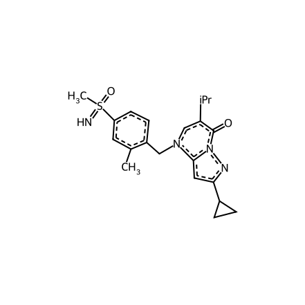 Cc1cc(S(C)(=N)=O)ccc1Cn1cc(C(C)C)c(=O)n2nc(C3CC3)cc12